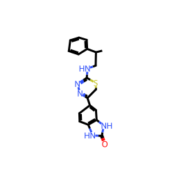 CC(CNC1=NN=C(c2ccc3[nH]c(=O)[nH]c3c2)CS1)c1ccccc1